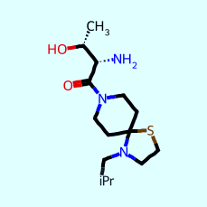 CC(C)CN1CCSC12CCN(C(=O)[C@@H](N)[C@@H](C)O)CC2